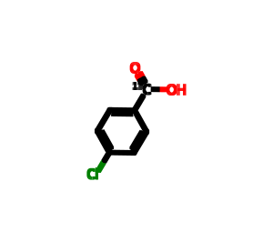 O=[13C](O)c1ccc(Cl)cc1